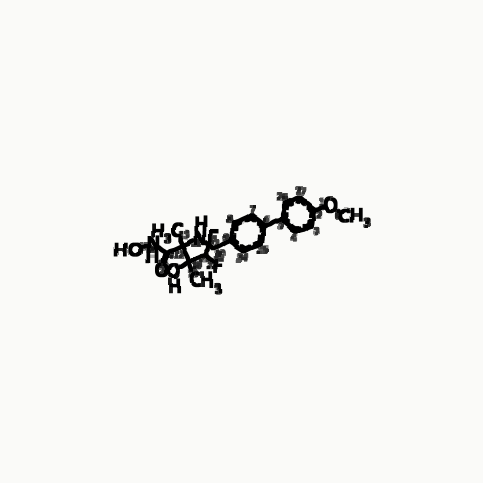 COc1ccc(-c2ccc(CNC(C)(C(=O)NO)C(C)(O)C(F)F)cc2)cc1